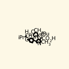 Cc1ncc(-c2ccc(O[C@H](C)C(C)C)cc2)c(N2CCC(C)(C)CC2)c1[C@H](OC(C)(C)C)C(=O)O